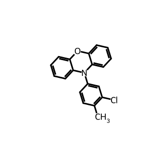 Cc1ccc(N2c3ccccc3Oc3ccccc32)cc1Cl